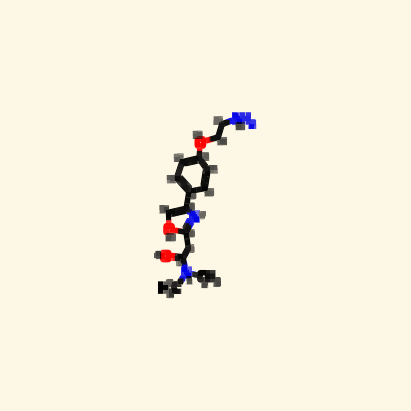 CN(C)C(=O)Cc1nc(-c2ccc(OCCN)cc2)co1